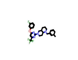 CC1C=C(CN2CCCC3CN(c4nc(Oc5cccc(F)c5)cc(C(F)(F)F)n4)CCC32)C=CC1